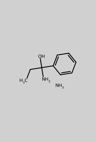 CCC(N)(O)c1ccccc1.N